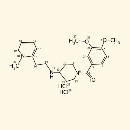 COc1ccc(C(=O)N2CCC(NCCC3=CC=CCN3C)CC2)cc1OC.Cl.Cl